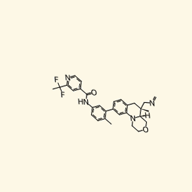 C=NC[C@@]1(C)Cc2ccc(-c3cc(NC(=O)c4ccnc(C(C)(F)F)c4)ccc3C)cc2N2CCOC[C@H]21